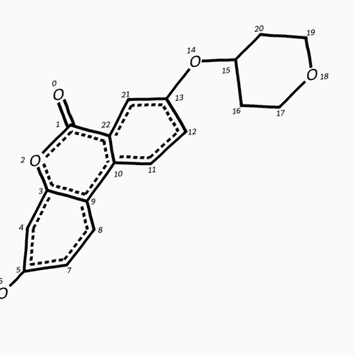 O=c1oc2cc(O)ccc2c2ccc(OC3CCOCC3)cc12